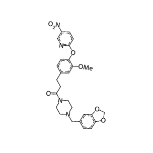 COc1cc(CCC(=O)N2CCN(Cc3ccc4c(c3)OCO4)CC2)ccc1Oc1ccc([N+](=O)[O-])cn1